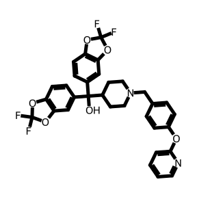 OC(c1ccc2c(c1)OC(F)(F)O2)(c1ccc2c(c1)OC(F)(F)O2)C1CCN(Cc2ccc(Oc3ccccn3)cc2)CC1